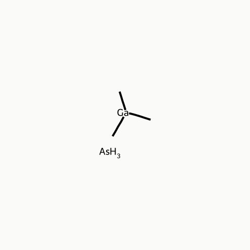 [AsH3].[CH3][Ga]([CH3])[CH3]